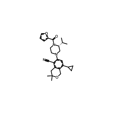 CC(C)[C@@H]1CN(c2cc(C3CC3)c3c(c2C#N)CC(C)(C)OC3)CCN1C(=O)c1ccco1